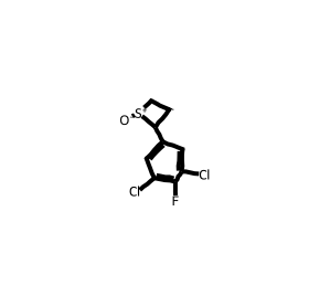 [O-][S+]1C[CH]C1c1cc(Cl)c(F)c(Cl)c1